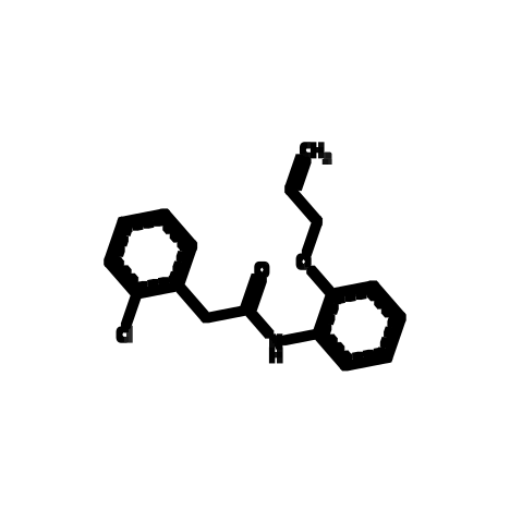 C=CCOc1ccccc1NC(=O)Cc1ccccc1Cl